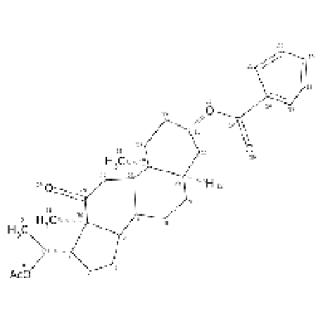 CC(=O)OC(C)[C@H]1CCC2C3CC[C@@H]4C[C@@H](OC(=O)c5ccccc5)CC[C@]4(C)C3CC(=O)[C@@]21C